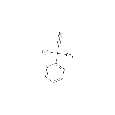 CC(C)(C#N)c1ncccn1